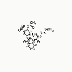 CC(=O)Oc1ccccc1C(=O)O.NCCCC[C@H](N)C(=O)Oc1ccccc1C(=O)O